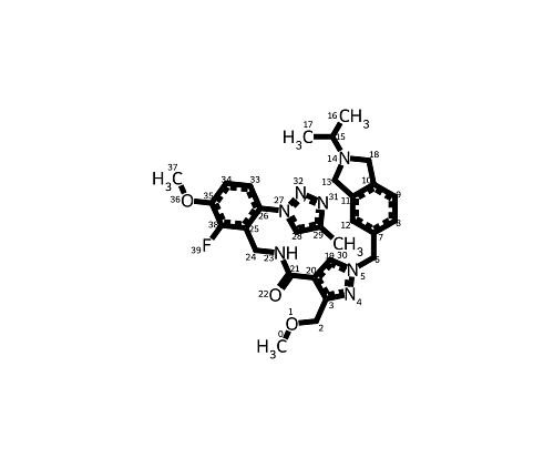 COCc1nn(Cc2ccc3c(c2)CN(C(C)C)C3)cc1C(=O)NCc1c(-n2cc(C)nn2)ccc(OC)c1F